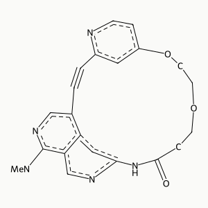 CNc1ncc2c3cc(ncc13)NC(=O)CCOCCOc1ccnc(c1)C#C2